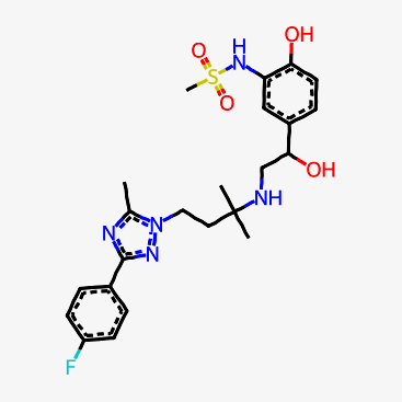 Cc1nc(-c2ccc(F)cc2)nn1CCC(C)(C)NCC(O)c1ccc(O)c(NS(C)(=O)=O)c1